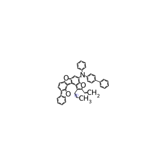 C=Cc1oc2c(N(c3ccccc3)c3ccc(-c4ccccc4)cc3)cc3oc4ccc5c6ccccc6oc5c4c3c2c1/C=C\C